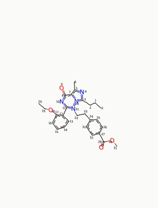 CCCc1nc(C)c2c(=O)nc(-c3ccccc3OCC)n(CCc3ccc(C(=O)OC)cc3)n12